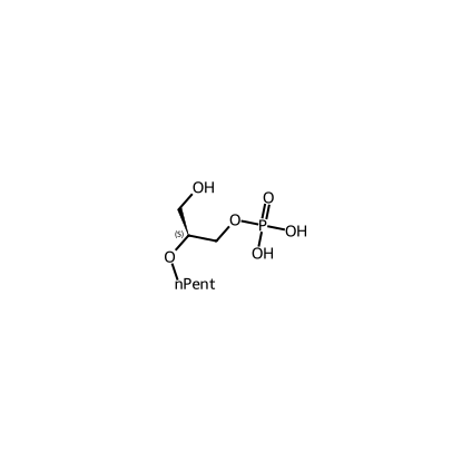 CCCCCO[C@@H](CO)COP(=O)(O)O